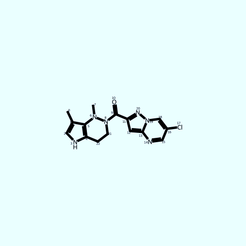 Cc1c[nH]c2c1N(C)N(C(=O)c1cc3ncc(Cl)cn3n1)CC2